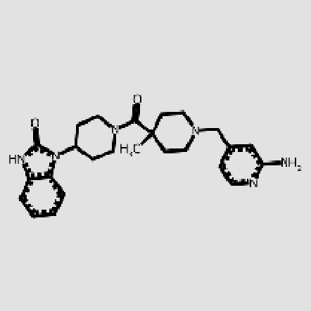 CC1(C(=O)N2CCC(n3c(=O)[nH]c4ccccc43)CC2)CCN(Cc2ccnc(N)c2)CC1